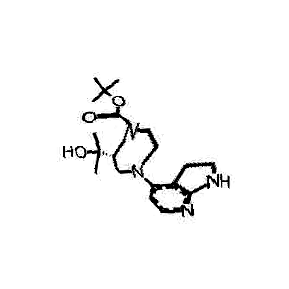 CC(C)(C)OC(=O)N1CCN(c2ccnc3c2CCN3)C[C@@H]1C(C)(C)O